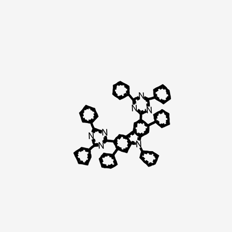 c1ccc(-c2nc(-c3ccccc3)nc(-c3cc4c5cc(-c6nc(-c7ccccc7)nc(-c7ccccc7)n6)c(-c6ccccc6)cc5n(-c5ccccc5)c4cc3-c3ccccc3)n2)cc1